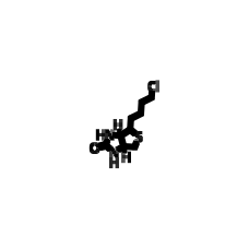 O=C1N[C@H]2CSC(CCCCCl)[C@H]2N1